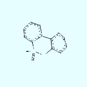 C[P@]1(=O)Oc2ccccc2-c2ccccc21